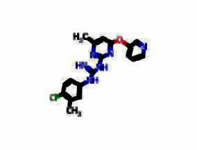 Cc1cc(Oc2cccnc2)nc(NC(=N)Nc2ccc(Cl)c(C)c2)n1